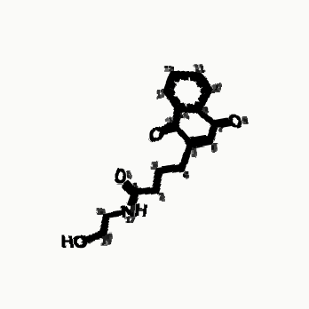 O=C(CCCC1=CC(=O)c2ccccc2C1=O)NCCO